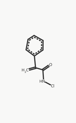 C=C(C(=O)NCl)c1ccccc1